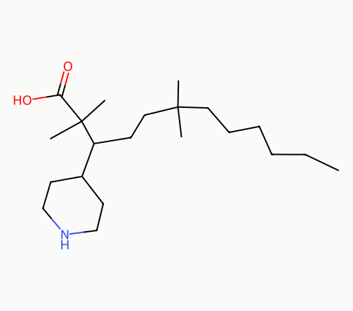 CCCCCCC(C)(C)CCC(C1CCNCC1)C(C)(C)C(=O)O